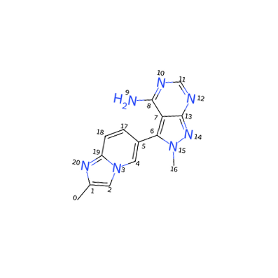 Cc1cn2cc(-c3c4c(N)ncnc4nn3C)ccc2n1